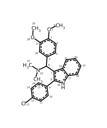 COc1ccc(C(c2c(-c3ccc(Cl)cc3)[nH]c3ccccc23)N(C)C)cc1OC